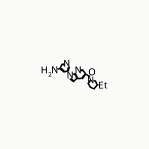 CC[C@H]1CCCN(C(=O)c2cnc3c(ccn3-c3cncc(N)c3)c2)C1